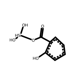 O=C(O[SiH](O)O)c1ccccc1O